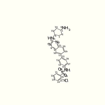 NC1CCC(Nc2ncc3cc(-c4ccc(NS(=O)(=O)c5ccccc5Cl)cc4)ccc3n2)CC1